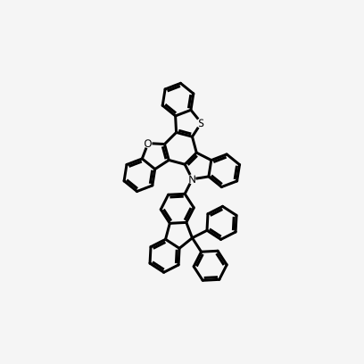 c1ccc(C2(c3ccccc3)c3ccccc3-c3ccc(-n4c5ccccc5c5c6sc7ccccc7c6c6oc7ccccc7c6c54)cc32)cc1